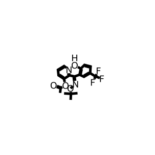 CC(=O)Oc1cccnc1/C(=N\OC(C)(C)C)c1cc(C(F)(F)F)ccc1O